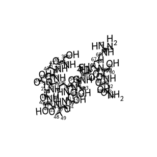 CC[C@H](C)[C@H](NC(=O)[C@@H](NC(=O)[C@@H](NC(=O)[C@@H](NC(=O)[C@H](CCC(=O)O)NC(=O)CNC(=O)[C@@H](NC(=O)[C@@H](N)CO)C(C)C)[C@@H](C)O)C(C)C)[C@@H](C)O)C(=O)N[C@H](C(=O)N[C@@H](CS)C(=O)N[C@@H](CCCNC(=N)N)C(=O)N[C@H](C(=O)N[C@@H](CC(N)=O)C(=O)O)[C@@H](C)O)[C@@H](C)O